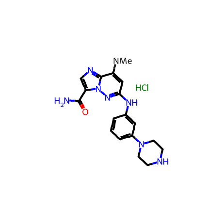 CNc1cc(Nc2cccc(N3CCNCC3)c2)nn2c(C(N)=O)cnc12.Cl